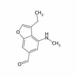 CCc1coc2cc(C=O)cc(NC)c12